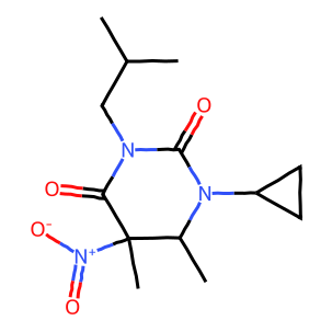 CC(C)CN1C(=O)N(C2CC2)C(C)C(C)([N+](=O)[O-])C1=O